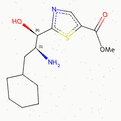 COC(=O)c1cnc([C@H](O)[C@@H](N)CC2CCCCC2)s1